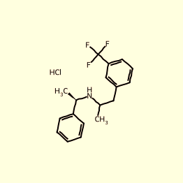 CC(Cc1cccc(C(F)(F)F)c1)N[C@H](C)c1ccccc1.Cl